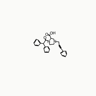 O=C(O)C1CN(CC#Cc2ccccc2)CCN1C(=O)C(c1ccccc1)c1ccccc1